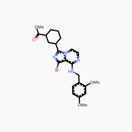 COC(=O)C1CCCC(c2nc(Br)c3c(NCc4ccc(OC)cc4OC)nccn23)C1